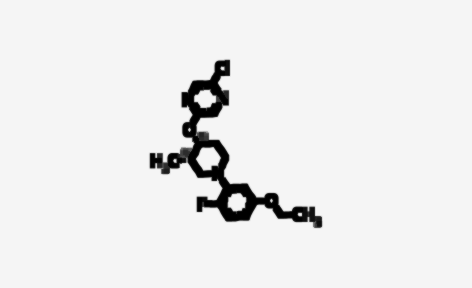 CCOc1ccc(F)c(N2CC[C@@H](Oc3cnc(Cl)cn3)[C@@H](C)C2)c1